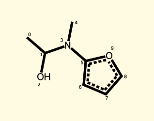 CC(O)N(C)c1ccco1